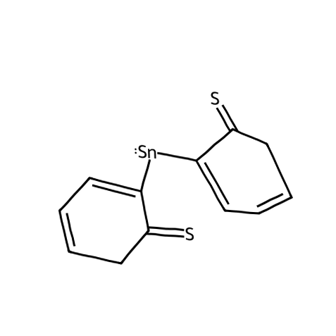 S=C1CC=CC=[C]1[Sn][C]1=CC=CCC1=S